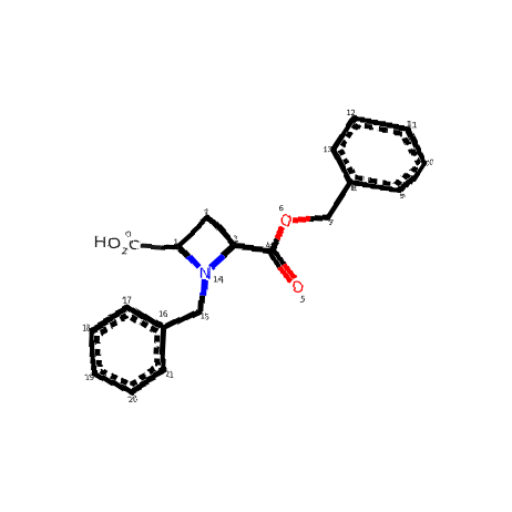 O=C(O)C1CC(C(=O)OCc2ccccc2)N1Cc1ccccc1